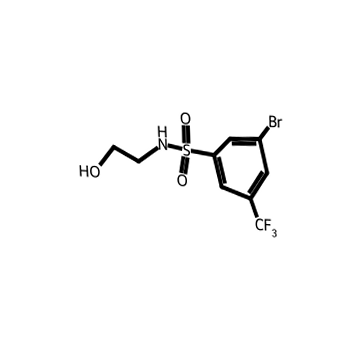 O=S(=O)(NCCO)c1cc(Br)cc(C(F)(F)F)c1